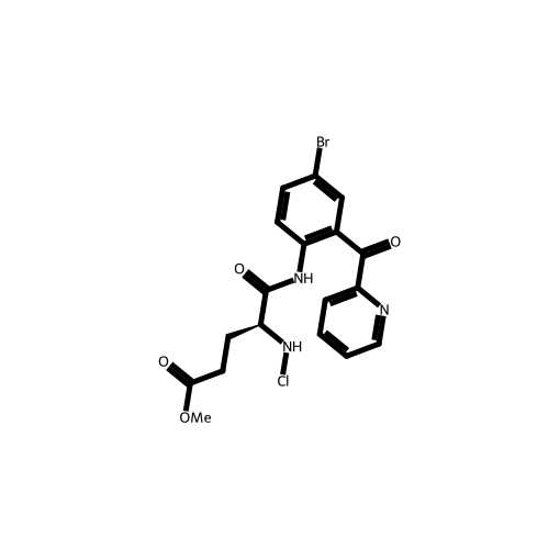 COC(=O)CC[C@H](NCl)C(=O)Nc1ccc(Br)cc1C(=O)c1ccccn1